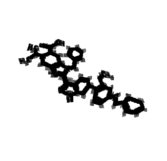 CCc1cc(OCc2ccccc2)ccc1-c1ccc2c(-c3nc4c(n3Cc3ccccc3)CC(C(=O)O)N(C(C)C)C4)n[nH]c2c1